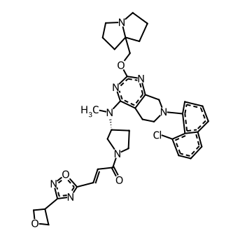 CN(c1nc(OCC23CCCN2CCC3)nc2c1CCN(c1cccc3cccc(Cl)c13)C2)[C@@H]1CCN(C(=O)/C=C/c2nc(C3COC3)no2)C1